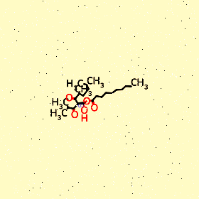 CCCCCCCCCC(=O)O/C(O)=C(/C(=O)C(C)C)C(=O)C(C)CCC(C)C